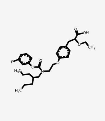 CCCC(CCC)CN(CCOc1ccc(CC(OCC)C(=O)O)cc1)C(=O)Oc1cccc(F)c1